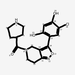 O=C(C1CCNCC1)N1CCc2noc(-c3cc(Cl)c(O)cc3O)c2C1